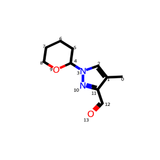 Cc1cn(C2CCCCO2)nc1C=O